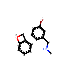 CNCc1cccc(Br)c1.c1ccc2c(c1)CO2